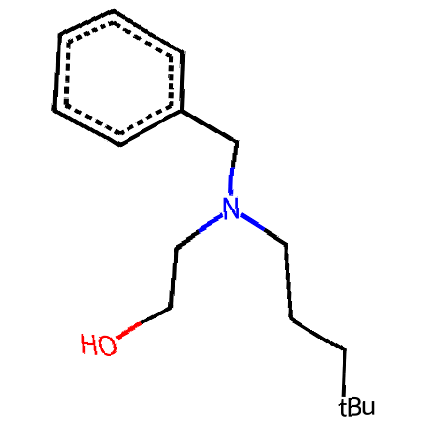 CC(C)(C)CCCN(CCO)Cc1ccccc1